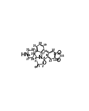 C=C(C)C[C@H]1N(C(=O)c2ccc3c(c2)OCO3)c2ccccc2C12CCNCC2